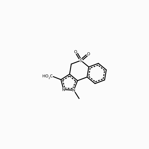 Cn1nc(C(=O)O)c2c1-c1ccccc1S(=O)(=O)C2